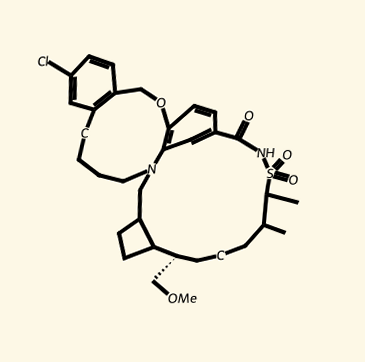 COC[C@H]1CCCC(C)C(C)S(=O)(=O)NC(=O)c2ccc3c(c2)N(CCCCc2cc(Cl)ccc2CO3)CC2CCC21